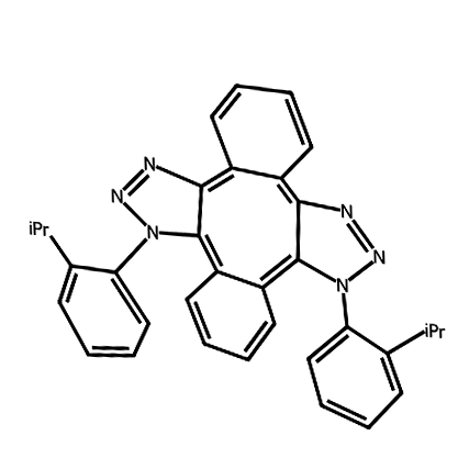 CC(C)c1ccccc1-n1nnc2/c1=c1/cccc/c1=c1/c(nnn1-c1ccccc1C(C)C)=c1/cccc/c1=2